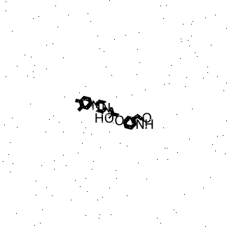 Cc1ccc(N2CCN(C[C@H](O)COc3ccc4c(c3)CC(=O)N4)CC2)cc1C